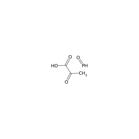 CC(=O)C(=O)O.O=P